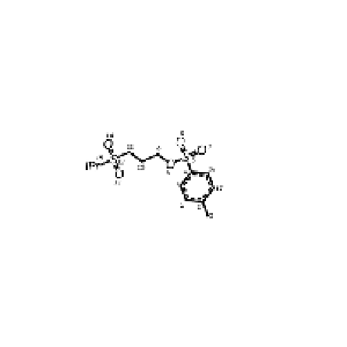 Cc1ccc(S(=O)(=O)OCCCS(=O)(=O)C(C)C)cc1